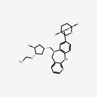 CCO[C@H]1C[C@@H](CN2Cc3cccnc3Nc3ccc(N4C[C@@H]5CC[C@H]4CO5)cc32)C[C@@H]1F